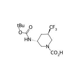 CC(C)(C)OC(=O)N[C@@H]1C[C@@H](C(F)(F)F)CN(C(=O)O)C1